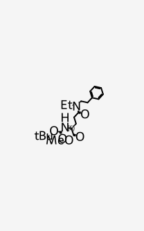 CCN(CCc1ccccc1)C(=O)CC[C@H](NC(=O)OC(C)(C)C)C(=O)OC